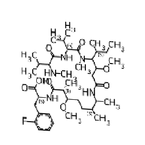 CC[C@H](C)C(C(CC(=O)NC(C)[C@@H](C)CCC(OC)[C@@H](C)C(=O)N[C@@H](Cc1ccccc1F)C(=O)O)OC)N(C)C(=O)[C@@H](NC(=O)C(NC)C(C)C)C(C)C